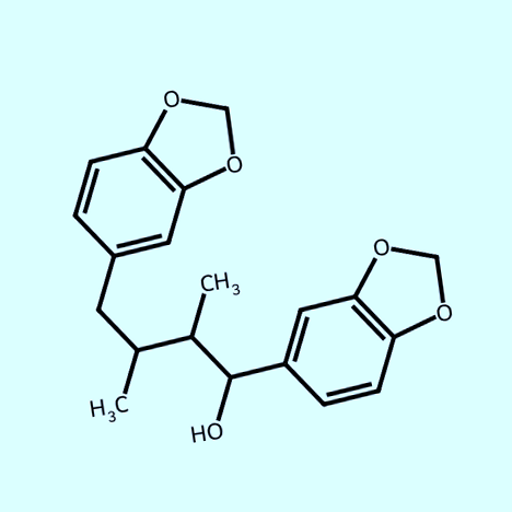 CC(Cc1ccc2c(c1)OCO2)C(C)C(O)c1ccc2c(c1)OCO2